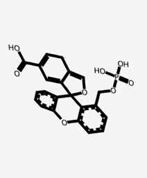 O=C(O)C1=C[CH]C2=COC3(C2=C1)c1ccccc1Oc1cccc(COP(=O)(O)O)c13